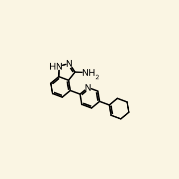 Nc1n[nH]c2cccc(-c3ccc(C4=CCCCC4)cn3)c12